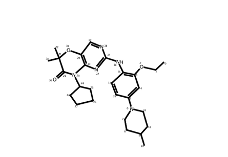 CCOc1cc(N2CCC(C)CC2)ccc1Nc1ncc2c(n1)N(C1CCCC1)C(=O)C(C)(C)O2